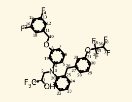 O[C@H](CN(c1cccc(OCc2cc(F)cc(F)c2)c1)c1ccccc1Cc1cccc(OC(F)(F)C(F)F)c1)C(F)(F)F